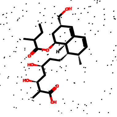 CCC(C)C(=O)O[C@H]1C[C@H](CO)C=C2C=C[C@H](C)[C@H](CC[C@@H](O)C[C@@H](O)C(C)C(=O)O)[C@H]21